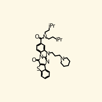 CC(C)CCN(CCC(C)C)C(=O)c1ccc2c(c1)n(CCCN1CCCCC1)c1nc3c(sc4ccccc43)c(=O)n21